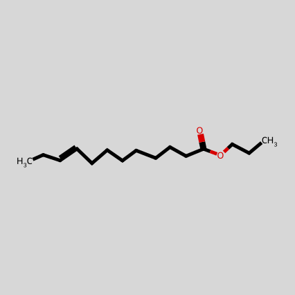 CCC=CCCCCCCCC(=O)OCCC